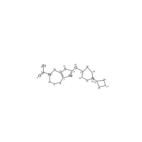 CCC(=O)N1CCCc2nc(OC3CCN(C4CCC4)CC3)sc2C1